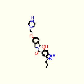 CCCc1n[nH]c2cc(O)c(C(=O)N3Cc4ccc(OCCN5CCNCC5)cc4C3)cc12